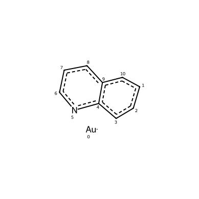 [Au].c1ccc2ncccc2c1